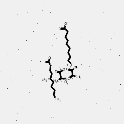 C=C(C)C(=O)O.C=C(C)C(=O)O.CCCCCCCCCC(=O)[O-].CCCCCCCCCC(=O)[O-].[Mg+2]